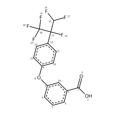 O=C(O)c1cccc(Oc2ccc(C(F)(C(F)F)C(F)(F)F)cc2)c1